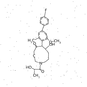 COc1cc(-c2ccc(F)cc2)cc(C)c1C1C(=O)CCCN(C(=O)C(C)O)CCCC1O